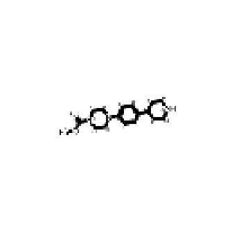 CC(C)(C)OC(=O)N1CCN(c2ccc(C3CCNCC3)cc2)CC1